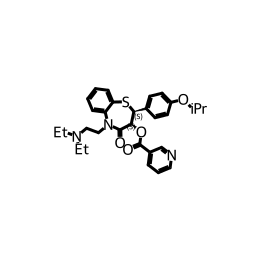 CCN(CC)CCN1C(=O)[C@H](OC(=O)c2cccnc2)[C@H](c2ccc(OC(C)C)cc2)Sc2ccccc21